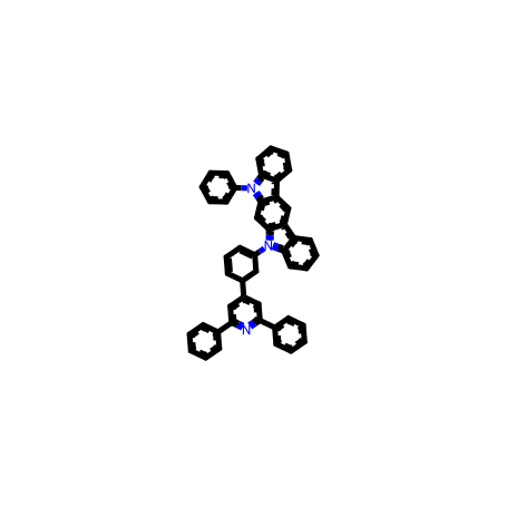 C1=CC(c2cc(-c3ccccc3)nc(-c3ccccc3)c2)CC(n2c3ccccc3c3cc4c5ccccc5n(-c5ccccc5)c4cc32)=C1